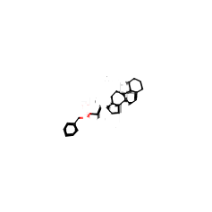 CC(=O)OC1CCCC2=CC[C@H]3[C@@H]4CC[C@H](/C(C)=C(\C(=O)O)C(=O)OCc5ccccc5)[C@@]4(C)CC[C@@H]3[C@]21C